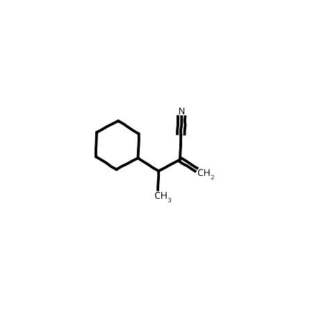 C=C(C#N)C(C)C1CCCCC1